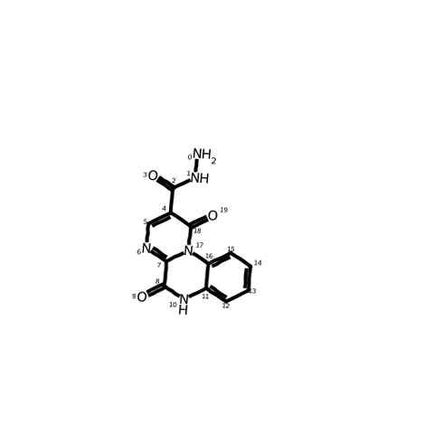 NNC(=O)c1cnc2c(=O)[nH]c3ccccc3n2c1=O